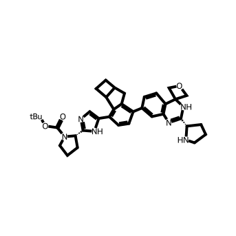 CC(C)(C)OC(=O)N1CCC[C@H]1c1ncc(-c2ccc(-c3ccc4c(c3)N=C([C@@H]3CCCN3)NC43COC3)c3c2C2CCC2C3)[nH]1